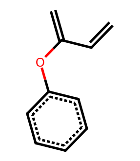 C=CC(=C)Oc1ccccc1